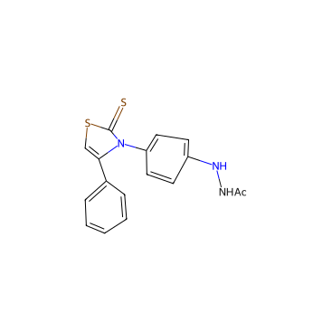 CC(=O)NNc1ccc(-n2c(-c3ccccc3)csc2=S)cc1